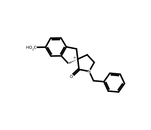 O=C(O)c1ccc2c(c1)C[C@@]1(CCN(Cc3ccccc3)C1=O)C2